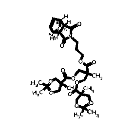 CC1(C)OCC(C)(C(=O)OCC(C)(COC(=O)C2(C)COC(C)(C)OC2)C(=O)OCCCN2C(=O)[C@@H]3[C@H](C2=O)[C@H]2C=C[C@@H]3O2)CO1